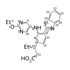 CCOc1ncc(Nc2cc(C(CC)CC(=O)O)ccc2-c2nc3ccccc3s2)cn1